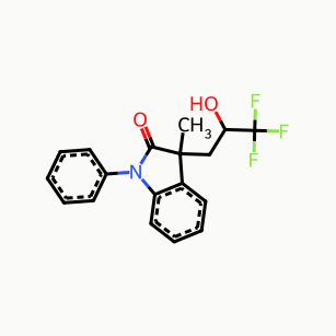 CC1(CC(O)C(F)(F)F)C(=O)N(c2ccccc2)c2ccccc21